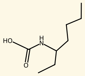 CCCCC(CC)NC(=O)O